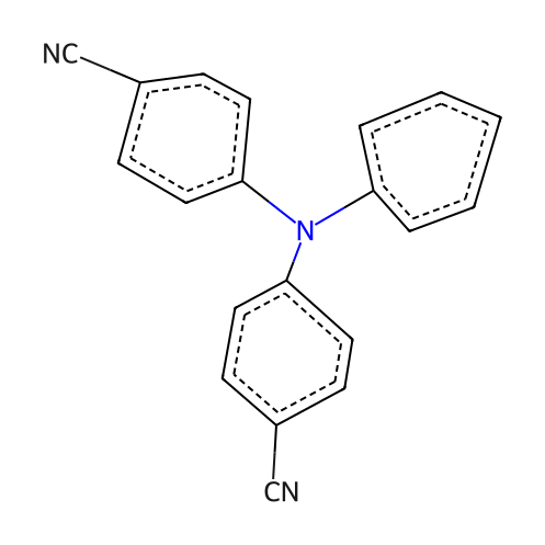 N#Cc1ccc(N(c2ccccc2)c2ccc(C#N)cc2)cc1